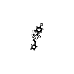 O=C(NS(=O)(=O)C=Cc1cccs1)c1ccc(Cl)cc1Cl